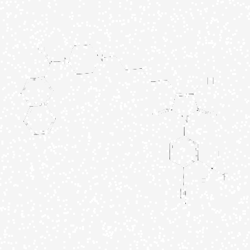 CC1=C(CCCCCN2CCN(C(=O)c3ccc4ccccc4c3)CC2)C(=O)N(c2ccc(C#N)c(C(F)(F)F)c2)C1=O